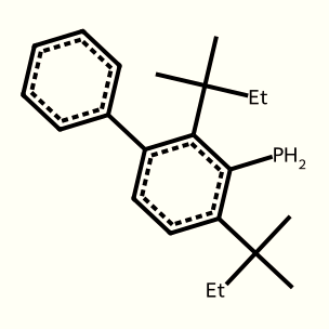 CCC(C)(C)c1ccc(-c2ccccc2)c(C(C)(C)CC)c1P